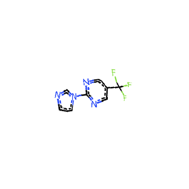 FC(F)(F)c1cnc(-n2ccnc2)nc1